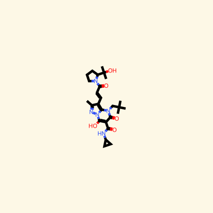 Cc1nn2c(O)c(C(=O)NC3CC3)c(=O)n(CC(C)(C)C)c2c1C=CC(=O)N1CCCC1C(C)(C)O